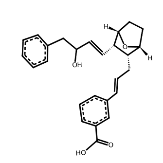 O=C(O)c1cccc(/C=C/C[C@@H]2[C@H](C=CC(O)Cc3ccccc3)[C@@H]3CC[C@H]2O3)c1